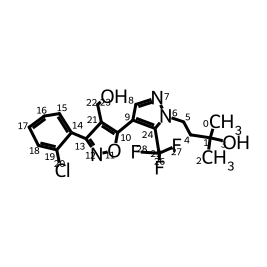 CC(C)(O)CCn1ncc(-c2onc(-c3ccccc3Cl)c2CO)c1C(F)(F)F